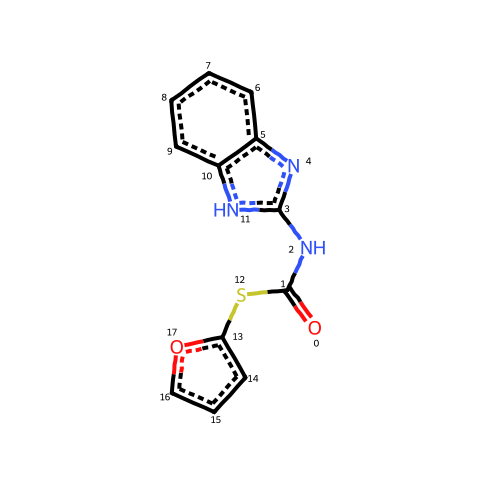 O=C(Nc1nc2ccccc2[nH]1)Sc1ccco1